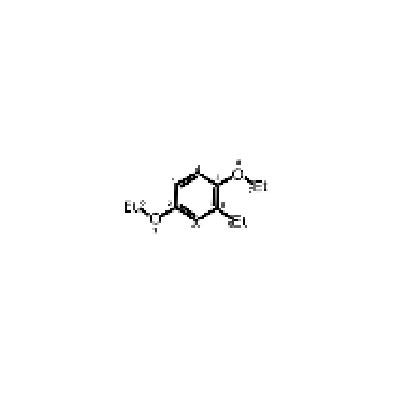 CCOc1ccc(OCC)c(CC)c1